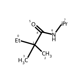 CCC(C)(C)C(=O)NC(C)C